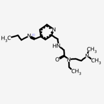 CCC/N=C/c1ccnc(CNCC(=O)N(CC)CCN(C)C)c1